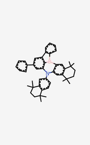 CC1(C)CCC(C)(C)c2cc(N3c4cc5c(cc4B4c6ccccc6-c6cc(-c7ccccc7)cc3c64)C(C)(C)CCC5(C)C)ccc21